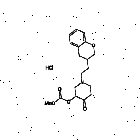 COC(=O)OC1CN(CCC2COc3ccccc3C2)CCC1=O.Cl